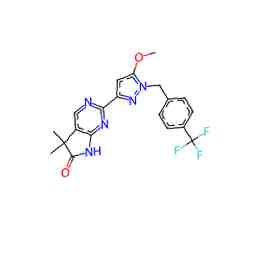 COc1cc(-c2ncc3c(n2)NC(=O)C3(C)C)nn1Cc1ccc(C(F)(F)F)cc1